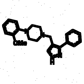 COc1ccccc1N1CCN(Cc2c[nH]nc2-c2ccccc2)CC1